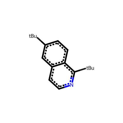 CC(C)(C)c1ccc2c(C(C)(C)C)nccc2c1